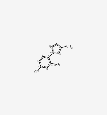 Cc1cnn(-c2ccc(Cl)cc2C(C)C)c1